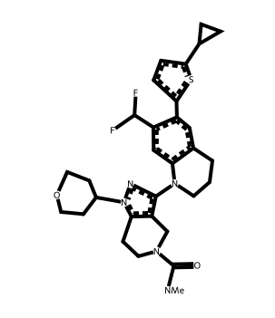 CNC(=O)N1CCc2c(c(N3CCCc4cc(-c5ccc(C6CC6)s5)c(C(F)F)cc43)nn2C2CCOCC2)C1